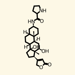 C[C@]12CC[C@H](NC(=O)C3CCCN3)C[C@H]1CC[C@@H]1[C@@H]2C[C@@H](O)[C@]2(C)[C@@H](C3=CC(=O)OC3)CC[C@]12O